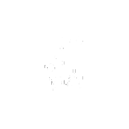 CC(COCCOC(C)c1cncc(-c2nn(C3CCCCO3)c3ccc(O[Si](C)(C)C(C)(C)C)cc23)c1)OCc1ccccc1